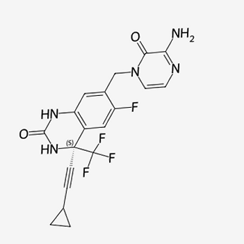 Nc1nccn(Cc2cc3c(cc2F)[C@@](C#CC2CC2)(C(F)(F)F)NC(=O)N3)c1=O